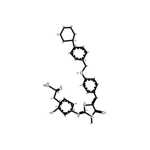 CN1C(=O)C(=Cc2ccc(OCc3ccc(C4CCCCC4)cc3)cc2)SC1=Nc1ccc(CC(=O)O)c(F)c1